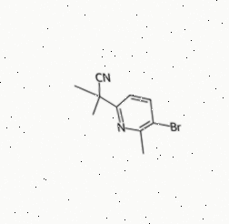 Cc1nc(C(C)(C)C#N)ccc1Br